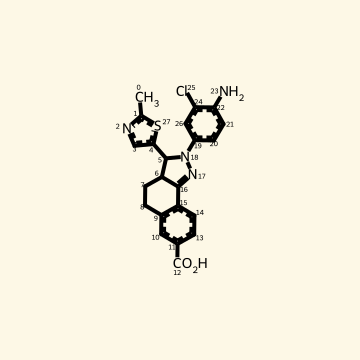 Cc1ncc(C2C3CCc4cc(C(=O)O)ccc4C3=NN2c2ccc(N)c(Cl)c2)s1